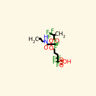 C=CCNC(=O)C(OCCCC(F)(F)C(F)(F)S(=O)(=O)O)(OC(=O)C(=C)C(F)(F)F)C(F)(F)F